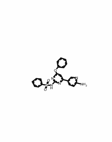 Nc1ccc(-c2cc(Oc3ccccc3)nc(NS(=O)(=O)c3ccccc3)n2)cn1